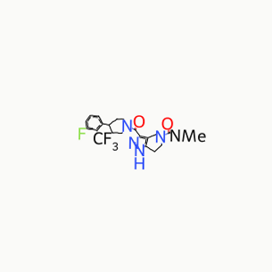 CNC(=O)N1CCc2[nH]nc(C(=O)N3CCC(c4cccc(F)c4C(F)(F)F)CC3)c2C1